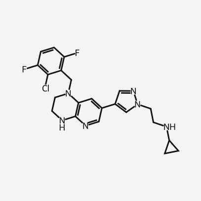 Fc1ccc(F)c(CN2CCNc3ncc(-c4cnn(CCNC5CC5)c4)cc32)c1Cl